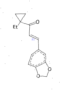 CCC1(C(=O)/C=C/c2ccc3c(c2)OCO3)CC1